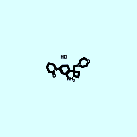 Cl.Nc1cc(N2CCCCC2=O)ccc1C1(CN2CCOCC2)CCC1